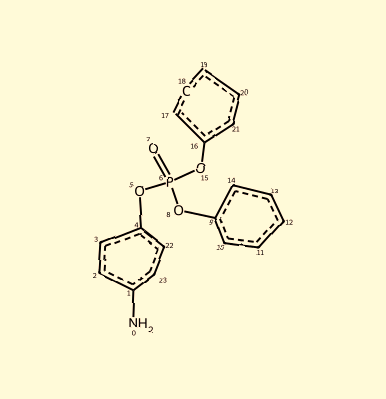 Nc1ccc(OP(=O)(Oc2ccccc2)Oc2ccccc2)cc1